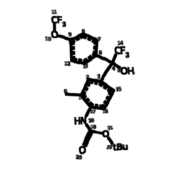 Cc1cc(C(O)(c2ccc(OC(F)(F)F)cc2)C(F)(F)F)ccc1NC(=O)OC(C)(C)C